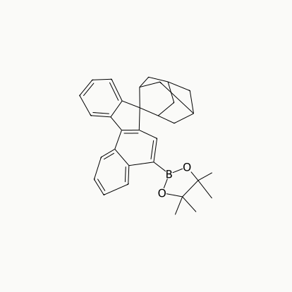 CC1(C)OB(c2cc3c(c4ccccc24)-c2ccccc2C32C3CC4CC(C3)CC2C4)OC1(C)C